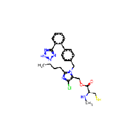 CCCCc1nc(Cl)c(COC(=O)[C@@H](CS)NC)n1Cc1ccc(-c2ccccc2-c2nn[nH]n2)cc1